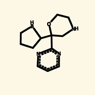 B1CCCC1C1(c2ncccn2)CNCCO1